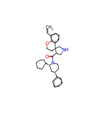 C=Cc1cccc2c1OCC[C@]21CNCC1C(=O)N1CC[C@@H](c2ccccc2)C[C@H]1C1CCCCC1